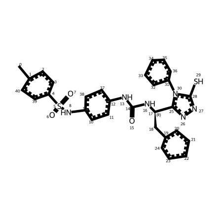 Cc1ccc(S(=O)(=O)Nc2ccc(NC(=O)N[C@H](Cc3ccccc3)c3nnc(S)n3-c3ccccc3)cc2)cc1